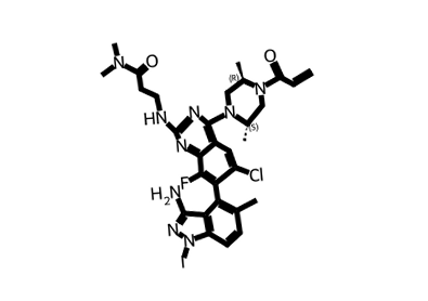 C=CC(=O)N1C[C@H](C)N(c2nc(NCCC(=O)N(C)C)nc3c(F)c(-c4c(C)ccc5c4c(N)nn5I)c(Cl)cc23)C[C@H]1C